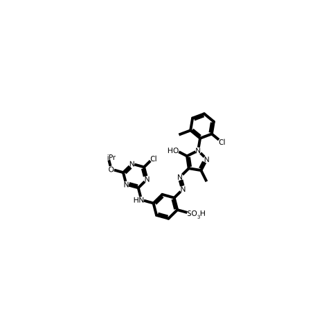 Cc1cccc(Cl)c1-n1nc(C)c(/N=N/c2cc(Nc3nc(Cl)nc(OC(C)C)n3)ccc2S(=O)(=O)O)c1O